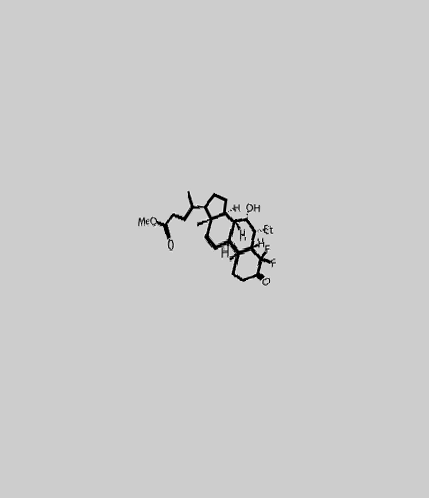 CC[C@H]1[C@@H](O)[C@@H]2[C@H](CC[C@]3(C)[C@@H](C(C)CCC(=O)OC)CC[C@@H]23)[C@@]2(C)CCC(=O)C(F)(F)[C@@H]12